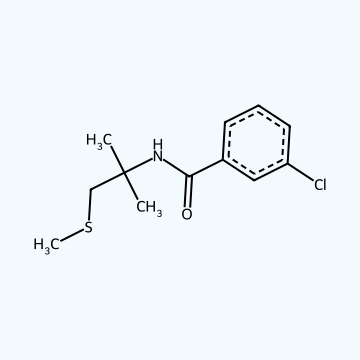 CSCC(C)(C)NC(=O)c1cccc(Cl)c1